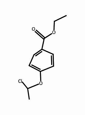 CCOC(=O)c1ccc(OC(C)Cl)cc1